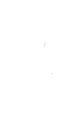 CCOC(=O)c1ccc(C(F)(F)F)c(C)c1Cl